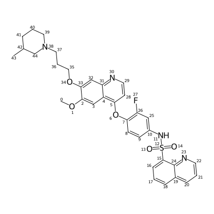 COc1cc2c(Oc3ccc(NS(=O)(=O)c4cccc5cccnc45)cc3F)ccnc2cc1OCCCN1CCCC(C)C1